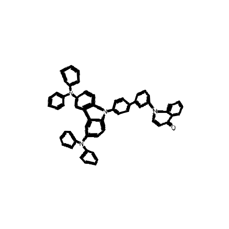 O=c1ccn(-c2cccc(-c3ccc(-n4c5ccc(N(c6ccccc6)c6ccccc6)cc5c5cc(N(c6ccccc6)c6ccccc6)ccc54)cc3)c2)c2ccccc12